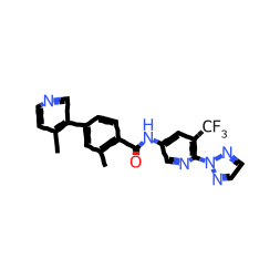 Cc1cc(-c2cnccc2C)ccc1C(=O)Nc1cnc(-n2nccn2)c(C(F)(F)F)c1